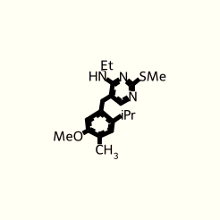 CCNc1nc(SC)ncc1Cc1cc(OC)c(C)cc1C(C)C